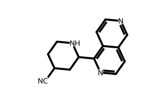 N#CC1CCNC(c2nccc3cnccc23)C1